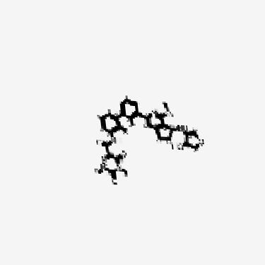 COc1nc(-c2cccc(-c3cccc(NC(=O)c4nn(C)c(=O)n(C)c4=O)c3C)c2C)cc2c1C(NC1COCC1O)CC2